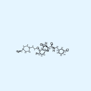 N#CC1CCC(CCOc2c(F)ccc3nc(C(=O)NCc4cccc(Cl)c4)[nH]c(=O)c23)CC1